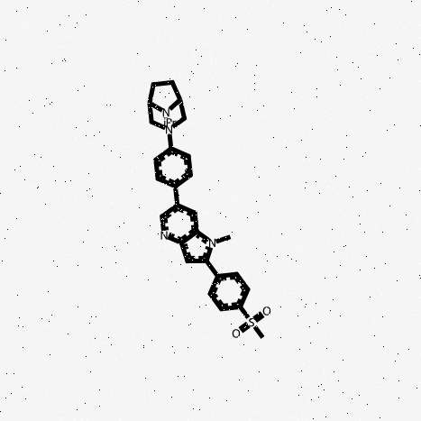 CC(C)N1C2CCC1CN(c1ccc(-c3cnc4cc(-c5ccc(S(C)(=O)=O)cc5)n(C)c4c3)cc1)C2